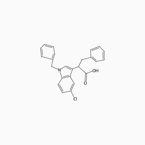 O=C(O)C(Cc1ccccc1)c1cn(Cc2ccccc2)c2ccc(Cl)cc12